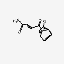 NC(=O)C=CC(=O)n1c2ccc1c(Cl)c2